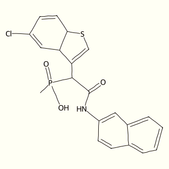 CP(=O)(O)C(C(=O)Nc1ccc2ccccc2c1)C1=CSC2C=CC(Cl)=CC12